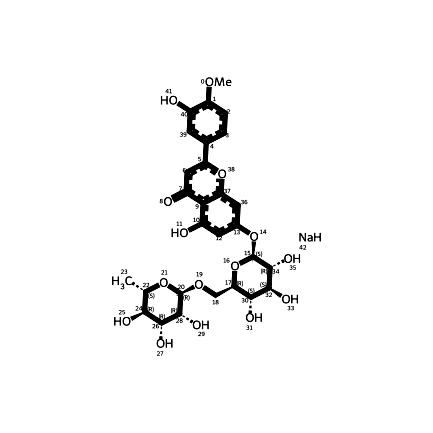 COc1ccc(-c2cc(=O)c3c(O)cc(O[C@@H]4O[C@H](CO[C@@H]5O[C@@H](C)[C@H](O)[C@@H](O)[C@H]5O)[C@@H](O)[C@H](O)[C@H]4O)cc3o2)cc1O.[NaH]